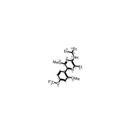 CCc1nc(-c2ccc(OC(F)(F)F)cc2OC)c(OC)nc1NC(CC)CC